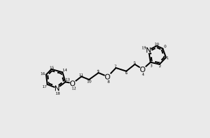 c1ccc(OCCCOCCCOc2ccccn2)nc1